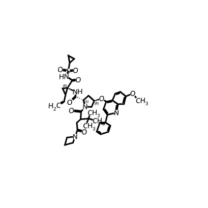 C=CC1C[C@]1(NC(=O)[C@@H]1C[C@@H](Oc2cc(-c3ccccc3)nc3cc(OC)ccc23)CN1C(=O)C(CC(=O)N1CCC1)C(C)(C)C)C(=O)NS(=O)(=O)C1CC1